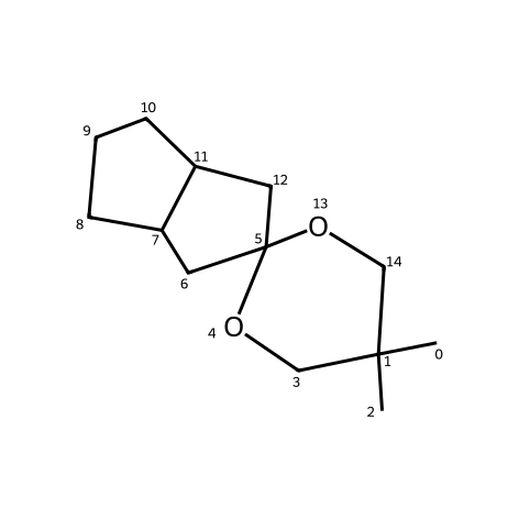 CC1(C)COC2(CC3CCCC3C2)OC1